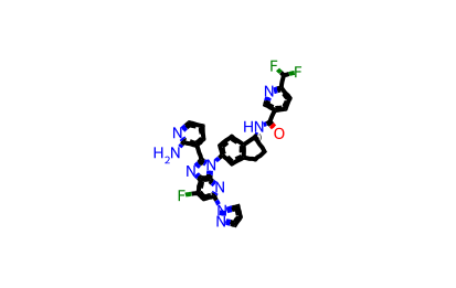 Nc1ncccc1-c1nc2c(F)cc(-n3cccn3)nc2n1-c1ccc2c(c1)CC[C@@H]2NC(=O)c1ccc(C(F)F)nc1